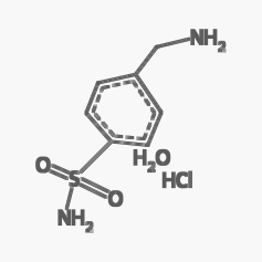 Cl.NCc1ccc(S(N)(=O)=O)cc1.O